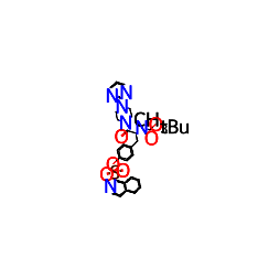 CN(C(=O)OC(C)(C)C)[C@@H](Cc1ccc(OS(=O)(=O)c2nccc3ccccc23)cc1)C(=O)N1CCN(c2ncccn2)CC1